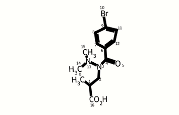 CC(CN(C(=O)c1ccc(Br)cc1)N(C)C)C(=O)O